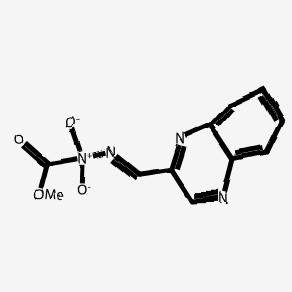 COC(=O)[N+]([O-])([O-])N=Cc1cnc2ccccc2n1